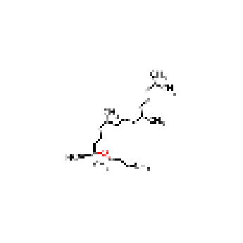 C#C[C@@](C)(CCC[C@H](C)CCC[C@H](C)CCCC(C)C)OCCCC